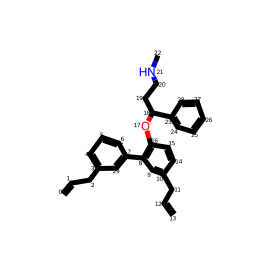 C=CCc1cc[c]c(-c2cc(CC=C)ccc2OC(CCNC)c2ccccc2)c1